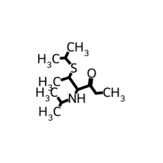 CCC(=O)C(NC(C)C)C(C)SC(C)C